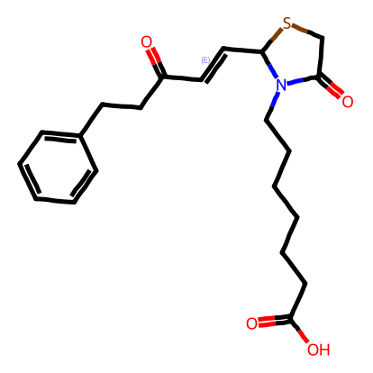 O=C(O)CCCCCCN1C(=O)CSC1/C=C/C(=O)CCc1ccccc1